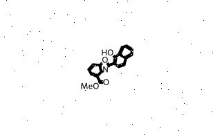 COC(=O)C1=CC=CC2OC(c3ccc4ccccc4c3O)=NC12